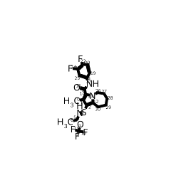 Cc1c(SNC(C)OC(F)(F)F)c2n(c1C(=O)Nc1ccc(F)c(F)c1)CCCCC2